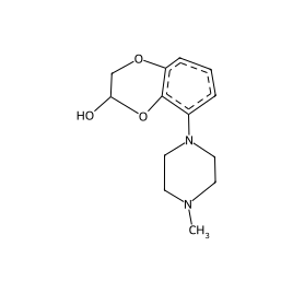 CN1CCN(c2cccc3c2OC(O)CO3)CC1